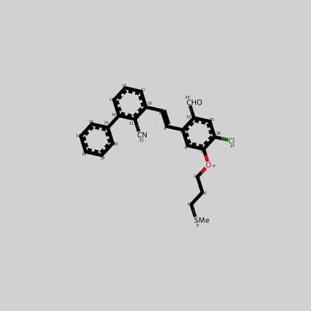 CSCCCOc1cc(/C=C/c2cccc(-c3ccccc3)c2C#N)c(C=O)cc1Cl